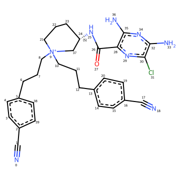 N#Cc1ccc(CCC[N+]2(CCCc3ccc(C#N)cc3)CCC[C@H](NC(=O)c3nc(Cl)c(N)nc3N)C2)cc1